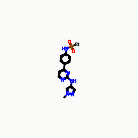 CCS(=O)(=O)Nc1ccc(-c2ccnc(Nc3cnn(C)c3)n2)cc1